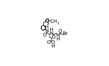 Cc1ccc(Cc2cccc(NC(=O)[C@H](CCC(=O)O)NC(=O)CNC(=O)CBr)c2)s1